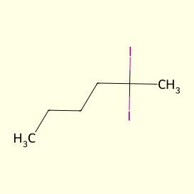 CCCCC(C)(I)I